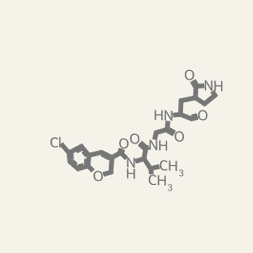 CC(C)C(NC(=O)C1=Cc2cc(Cl)ccc2OC1)C(=O)NCC(=O)NC(C=O)CC1CCNC1=O